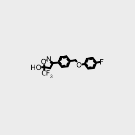 OC1(C(F)(F)F)CC(c2ccc(COc3ccc(F)cc3)cc2)=NO1